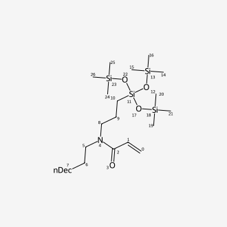 C=CC(=O)N(CCCCCCCCCCCC)CCC[Si](O[Si](C)(C)C)(O[Si](C)(C)C)O[Si](C)(C)C